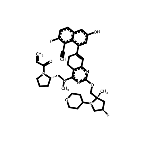 C#Cc1c(F)ccc2cc(O)cc(C3=Cc4nc(OC[C@]5(C)C[C@@H](F)CN5C5CCOCC5)nc(N(C)C[C@@H]5CCCN5C(=O)C=C)c4CC3)c12